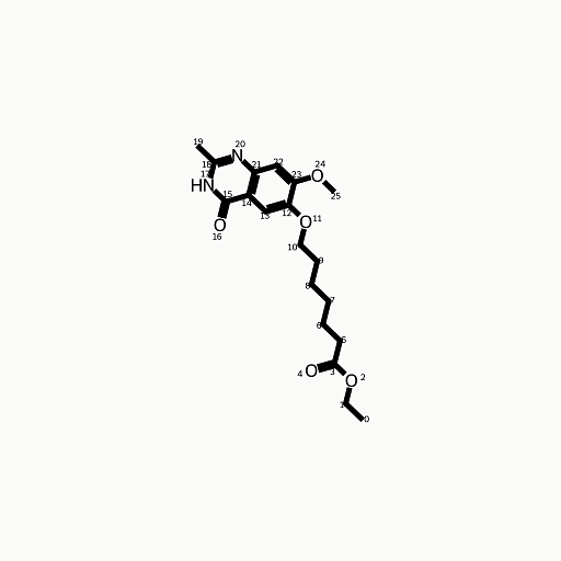 CCOC(=O)CCCCCCOc1cc2c(=O)[nH]c(C)nc2cc1OC